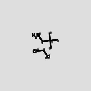 CC(C)(C)CN.ClCCl